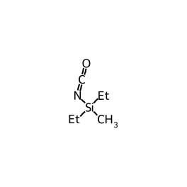 CC[Si](C)(CC)N=C=O